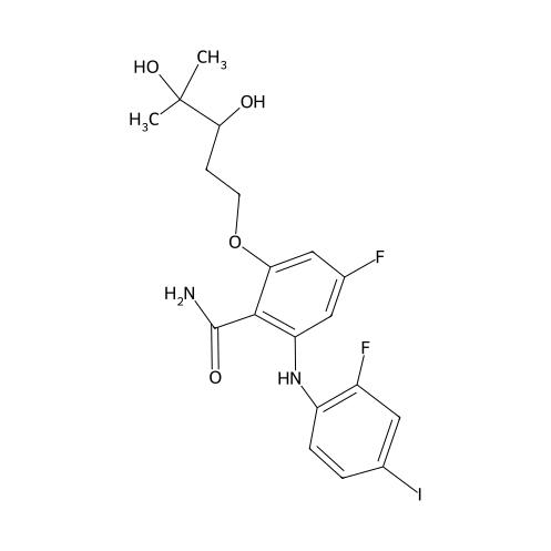 CC(C)(O)C(O)CCOc1cc(F)cc(Nc2ccc(I)cc2F)c1C(N)=O